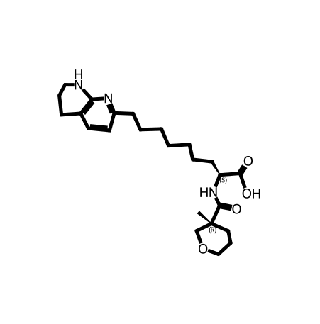 C[C@@]1(C(=O)N[C@@H](CCCCCCCc2ccc3c(n2)NCCC3)C(=O)O)CCCOC1